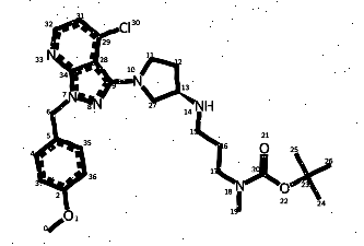 COc1ccc(Cn2nc(N3CC[C@@H](NCCCN(C)C(=O)OC(C)(C)C)C3)c3c(Cl)ccnc32)cc1